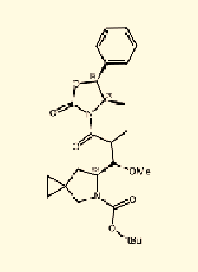 COC(C(C)C(=O)N1C(=O)O[C@@H](c2ccccc2)[C@H]1C)[C@@H]1CC2(CC2)CN1C(=O)OC(C)(C)C